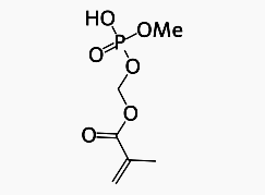 C=C(C)C(=O)OCOP(=O)(O)OC